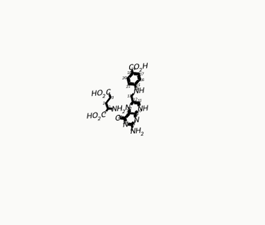 NC(CCC(=O)O)C(=O)O.Nc1nc2[nH]cc(CNc3ccc(C(=O)O)cc3)nc-2c(=O)n1